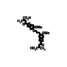 COc1cc2sc(C(=O)C[C@H](C)C(=O)O)cc2cc1CCCOc1nc2cc(C(=O)C[C@H](C)C(=O)O)sc2cc1OC